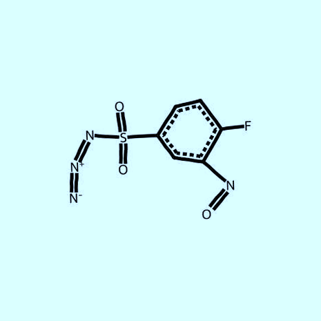 [N-]=[N+]=NS(=O)(=O)c1ccc(F)c(N=O)c1